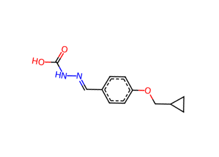 O=C(O)NN=Cc1ccc(OCC2CC2)cc1